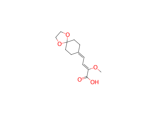 COC(=CC=C1CCC2(CC1)OCCO2)C(=O)O